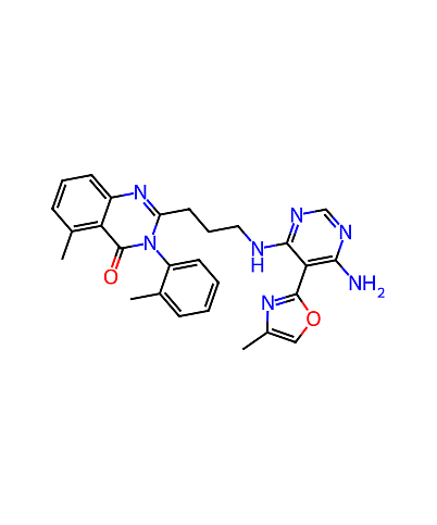 Cc1coc(-c2c(N)ncnc2NCCCc2nc3cccc(C)c3c(=O)n2-c2ccccc2C)n1